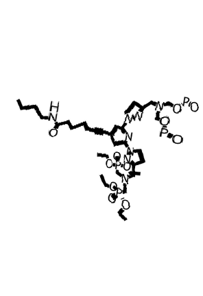 CCCCNC(=O)CCCCC#Cc1cc(-n2ccc(CN(COP=O)COP=O)n2)nc(-n2ccc(CN(CP(=O)(OCC)OCC)CP(=O)(OCC)OCC)n2)c1